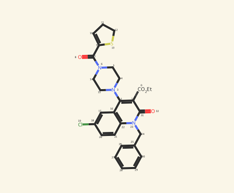 CCOC(=O)c1c(N2CCN(C(=O)C3=CCCS3)CC2)c2cc(Cl)ccc2n(Cc2ccccc2)c1=O